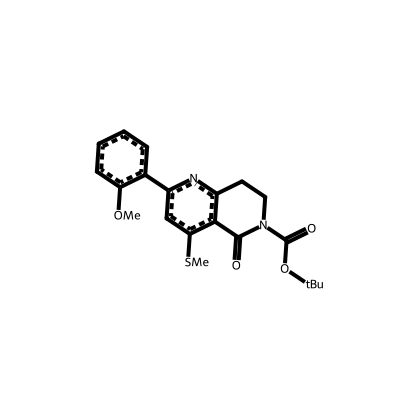 COc1ccccc1-c1cc(SC)c2c(n1)CCN(C(=O)OC(C)(C)C)C2=O